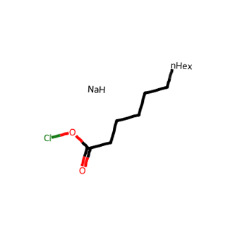 CCCCCCCCCCCC(=O)OCl.[NaH]